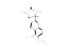 COc1ccc2cc(C3(C)NC(=O)NC3=O)ccc2c1Br